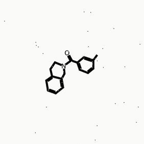 Cc1cccc(C(=O)N2CCc3ccccc3C2)c1